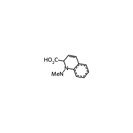 CNN1c2ccccc2C=CC1C(=O)O